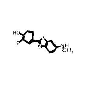 CNc1ccc2nc(-c3ccc(O)c(F)c3)sc2c1